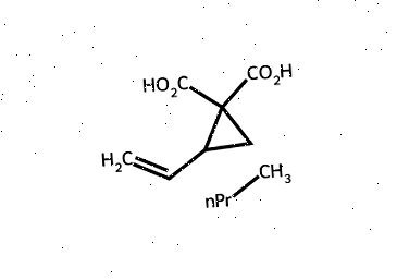 C=CC1CC1(C(=O)O)C(=O)O.CCCC